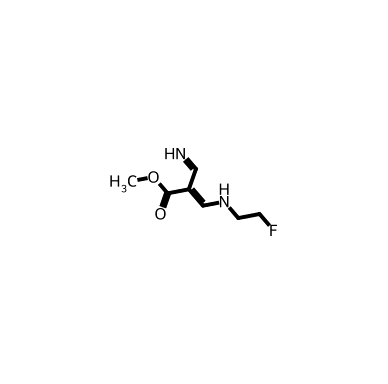 COC(=O)/C(C=N)=C/NCCF